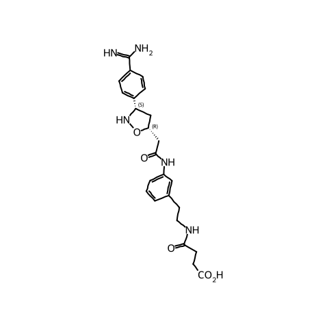 N=C(N)c1ccc([C@@H]2C[C@H](CC(=O)Nc3cccc(CCNC(=O)CCC(=O)O)c3)ON2)cc1